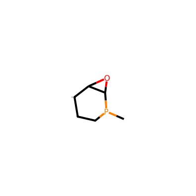 CP1CC[CH]C2OC21